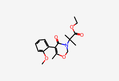 CCOC(=O)C(C)(C)N1COC(C)=C(c2ccccc2OC)C1=O